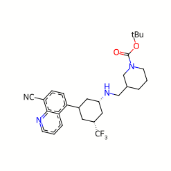 CC(C)(C)OC(=O)N1CCCC(CN[C@H]2CC(c3ccc(C#N)c4ncccc34)C[C@@H](C(F)(F)F)C2)C1